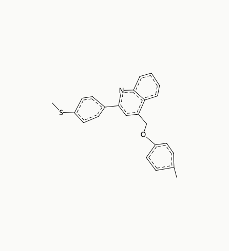 CSc1ccc(-c2cc(COc3ccc(C)cc3)c3ccccc3n2)cc1